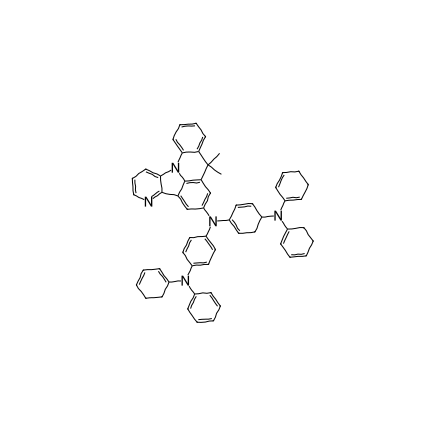 CC1(C)c2ccccc2-n2c3cccnc3c3cc(N(C4=CCC(N(C5=CCCC=C5)C5=CC=CCC5)C=C4)c4ccc(N(C5=CC=CCC5)c5ccccc5)cc4)cc1c32